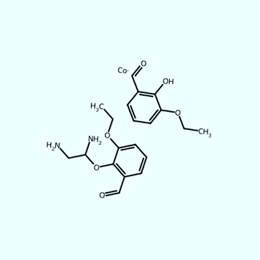 CCOc1cccc(C=O)c1O.CCOc1cccc(C=O)c1OC(N)CN.[Co]